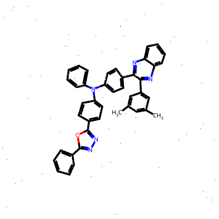 Cc1cc(C)cc(-c2nc3ccccc3nc2-c2ccc(N(c3ccccc3)c3ccc(-c4nnc(-c5ccccc5)o4)cc3)cc2)c1